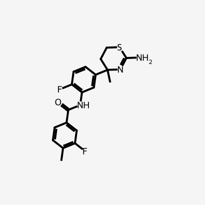 Cc1ccc(C(=O)Nc2cc(C3(C)CCSC(N)=N3)ccc2F)cc1F